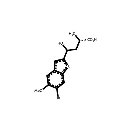 COc1cc2cc(C(O)C[C@H](C)C(=O)O)sc2cc1Br